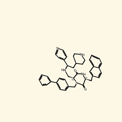 O=C1N[C@@H](Cc2ccc3ccccc3c2)C(=O)N(Cc2ccc(-c3ccccc3)cc2)[C@H]1CNC(CC1CCNCC1)c1ccncc1